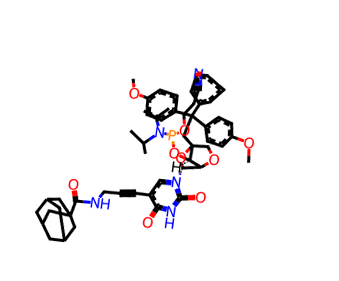 COc1ccc(C(CC23COC([C@H](n4cc(C#CCNC(=O)C56CC7CC(CC(C7)C5)C6)c(=O)[nH]c4=O)O2)[C@H]3OP(OCCC#N)N(C(C)C)C(C)C)(c2ccccc2)c2ccc(OC)cc2)cc1